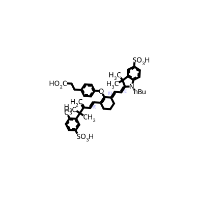 C=C(/C=C/C1=C(Oc2ccc(CCC(=O)O)cc2)C(=C/C=C2/N(CCCC)c3ccc(S(=O)(=O)O)cc3C2(C)C)/CCC1)C(C)(C)c1cc(S(=O)(=O)O)ccc1C